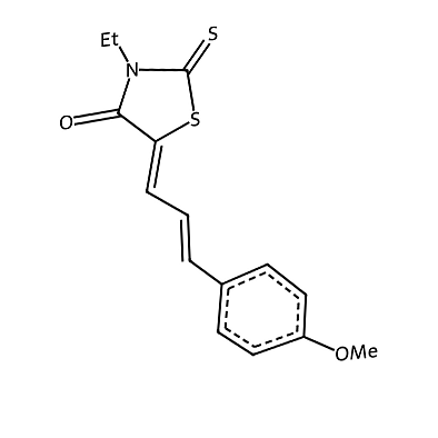 CCN1C(=O)C(=CC=Cc2ccc(OC)cc2)SC1=S